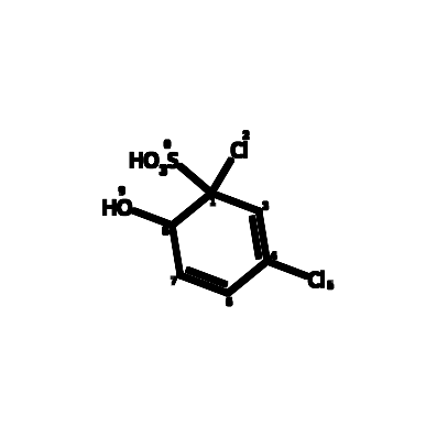 O=S(=O)(O)C1(Cl)C=C(Cl)C=CC1O